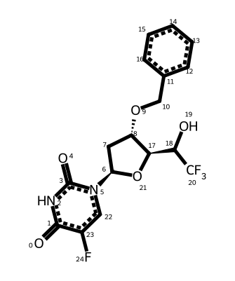 O=c1[nH]c(=O)n([C@H]2C[C@H](OCc3ccccc3)[C@@H](C(O)C(F)(F)F)O2)cc1F